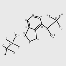 CC(C)(C)[Si](C)(C)O[C@H]1CCc2c(C(O)C(F)(F)F)cccc21